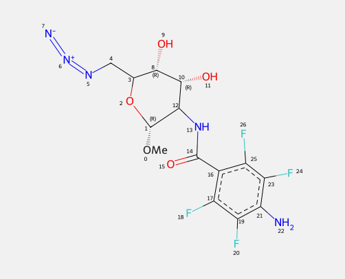 CO[C@@H]1OC(CN=[N+]=[N-])[C@H](O)[C@H](O)C1NC(=O)c1c(F)c(F)c(N)c(F)c1F